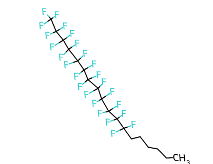 CCCCCCC(F)(F)C(F)(F)C(F)(F)C(F)(F)C(F)(F)C(F)(F)C(F)(F)C(F)(F)C(F)(F)C(F)(F)C(F)(F)C(F)(F)F